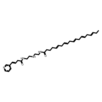 CCC=CCC=CCC=CCC=CCC=CCCCC(=O)NCCNCCNC(=O)CC=Cc1cccnc1